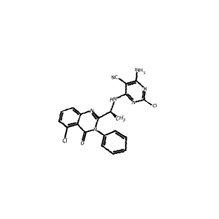 C[C@H](Nc1nc(Cl)nc(N)c1C#N)c1nc2cccc(Cl)c2c(=O)n1-c1ccccc1